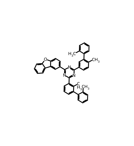 Cc1ccccc1-c1cc(-c2nc(-c3ccc4oc5ccccc5c4c3)nc(-c3cccc(-c4ccccc4C)c3C)n2)ccc1C